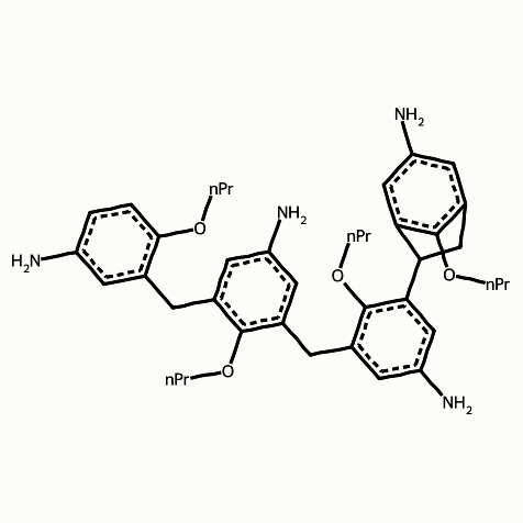 CCCOc1ccc(N)cc1Cc1cc(N)cc(Cc2cc(N)cc(C3Cc4cc(N)cc3c4OCCC)c2OCCC)c1OCCC